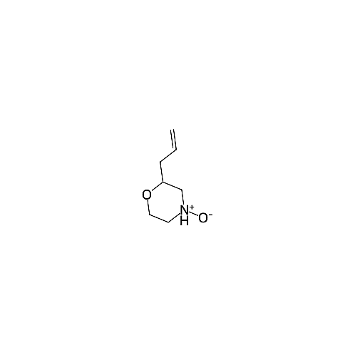 C=CCC1C[NH+]([O-])CCO1